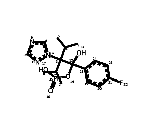 CC(C)C(C(C)C)(n1cncn1)C(O)(O[PH](=O)O)c1ccc(F)cc1